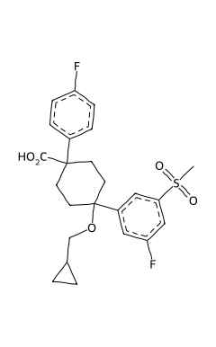 CS(=O)(=O)c1cc(F)cc(C2(OCC3CC3)CCC(C(=O)O)(c3ccc(F)cc3)CC2)c1